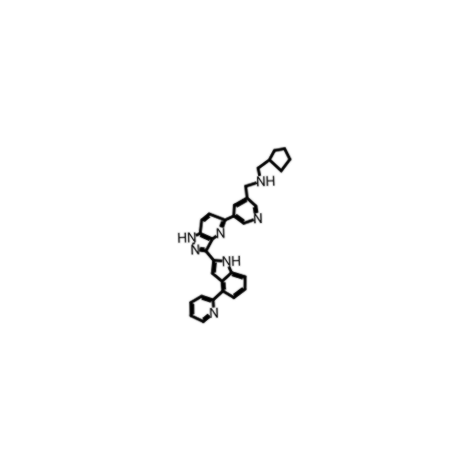 c1ccc(-c2cccc3[nH]c(-c4n[nH]c5ccc(-c6cncc(CNCC7CCCC7)c6)nc45)cc23)nc1